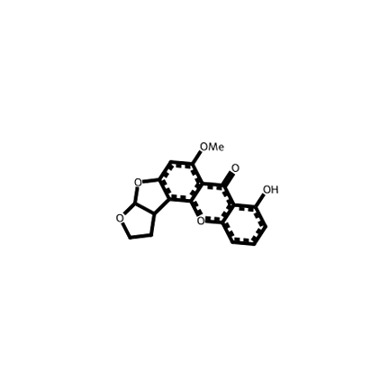 COc1cc2c(c3oc4cccc(O)c4c(=O)c13)C1CCOC1O2